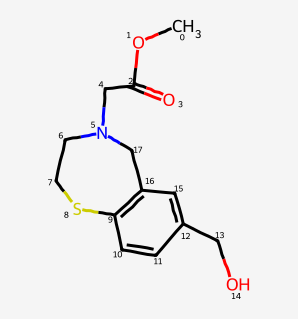 COC(=O)CN1CCSc2ccc(CO)cc2C1